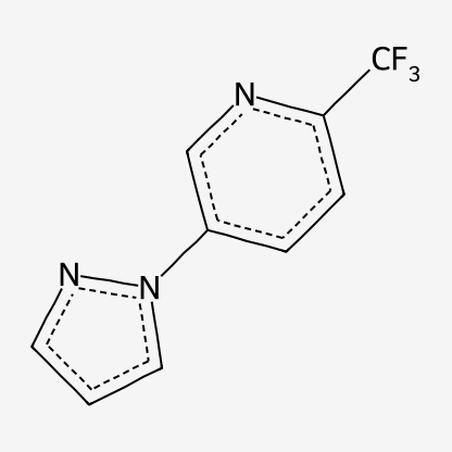 FC(F)(F)c1ccc(-n2cccn2)cn1